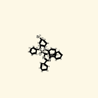 O=P1(c2nc(-c3ccccc3)nc(-c3ccccc3)n2)N(c2ccccc2)c2ccc(Br)cc2N1c1ccccc1